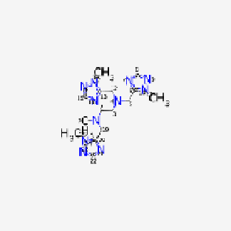 CN(CCN(Cc1ncnn1C)Cc1ncnn1C)Cc1ncnn1C